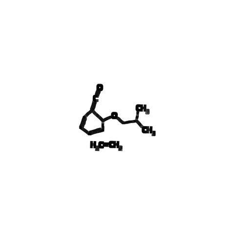 C=C.CC(C)COC1C=CC=CC1=C=O